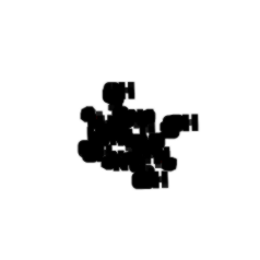 O=S(=O)(O)CCCOc1cc(N=Nc2ccccc2)ccc1Nc1nc(Nc2ccc(N=Nc3ccccc3)cc2OCCCSOOO)nc(N2CCN(c3nc(Nc4ccc(N=Nc5ccccc5)cc4OCCCSOOO)nc(Nc4ccc(N=Nc5ccccc5)cc4OCCCS(=O)(=O)O)n3)CC2)n1